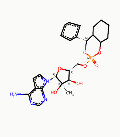 C[C@@]1(O)[C@H](O)[C@@H](CO[P@@]2(=O)OC3CCCCC3[C@@H](c3ccccc3)O2)O[C@H]1n1ccc2c(N)ncnc21